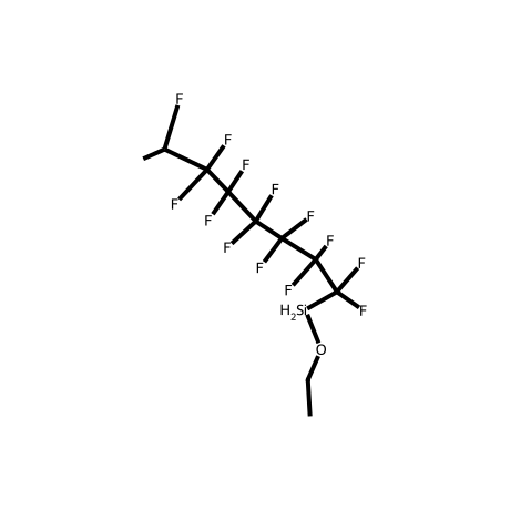 CCO[SiH2]C(F)(F)C(F)(F)C(F)(F)C(F)(F)C(F)(F)C(F)(F)C(C)F